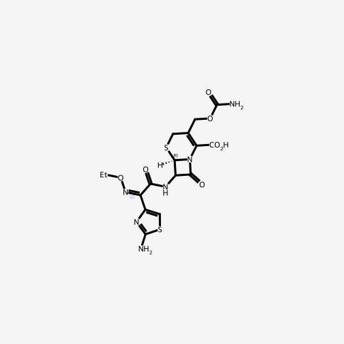 CCO/N=C(\C(=O)NC1C(=O)N2C(C(=O)O)=C(COC(N)=O)CS[C@H]12)c1csc(N)n1